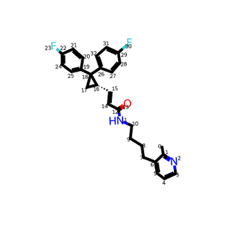 Cc1ncccc1CCCCNC(=O)/C=C/[C@@H]1CC1(c1ccc(F)cc1)c1ccc(F)cc1